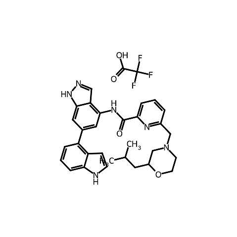 CC(C)CC1CN(Cc2cccc(C(=O)Nc3cc(-c4cccc5[nH]ccc45)cc4[nH]ncc34)n2)CCO1.O=C(O)C(F)(F)F